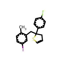 Cc1ccc(I)cc1CC1(c2ccc(F)cc2)CC=CS1